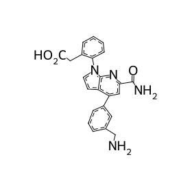 NCc1cccc(-c2cc(C(N)=O)nc3c2ccn3-c2ccccc2CC(=O)O)c1